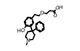 CN1CCC(c2ccccc2)(c2cc(CCOCCC(=O)O)ccc2O)CC1